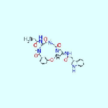 BCC(=O)N[C@H]1CN(C)C(=O)c2cccc(c2)OC[C@@H]2C[C@H](NC(=O)Cc3c[nH]c4ccccc34)CN2C(=O)CN(C)C1=O